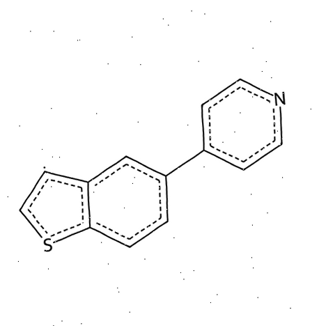 [c]1csc2ccc(-c3ccncc3)cc12